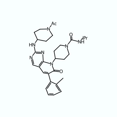 CC(=O)N1CCC(Nc2ncc3cc(-c4ccccc4C)c(=O)n(C4CCN(C(=O)NC(C)C)CC4)c3n2)CC1